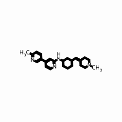 Cc1ccc(-c2ccnc(NC3CCCC(C=C4CCN(C)CC4)C3)c2)cn1